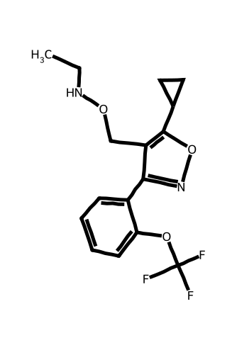 CCNOCc1c(-c2ccccc2OC(F)(F)F)noc1C1CC1